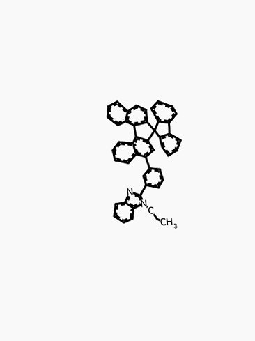 CCCn1c(-c2cccc(-c3cc4c(c5ccccc35)-c3c(ccc5ccccc35)C43c4ccccc4-c4ccccc43)c2)nc2ccccc21